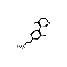 Cc1cc(CCC(=O)O)ccc1-c1cnccc1C